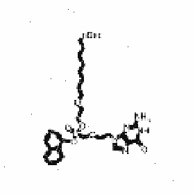 CCCCCCCCCCCCCCCCCCOCCOP(=O)(COCCn1cnc2c(=O)[nH]c(N)nc21)Oc1cccc2ccccc12